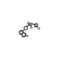 O=C(Nc1csc(Cl)c1)C(=O)N1CCC(c2ccnc3ccc(F)cc23)CC1